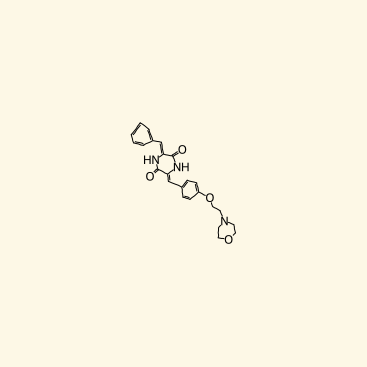 O=c1[nH]/c(=C\c2ccc(OCCN3CCOCC3)cc2)c(=O)[nH]/c1=C\c1ccccc1